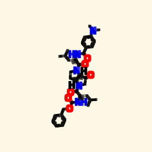 CC(C)C[C@H](NC(=O)OCc1ccccc1)C(=O)N1CC(=O)[C@@H]2[C@H]1CCN2C(=O)[C@H](CC(C)C)NC(=O)c1ccc(N(C)C)cc1